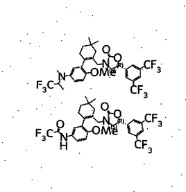 COc1ccc(N(C)C(C)C(F)(F)F)cc1C1=C(CN2C(=O)O[C@H](c3cc(C(F)(F)F)cc(C(F)(F)F)c3)[C@@H]2C)CC(C)(C)CC1.COc1ccc(NC(=O)C(F)(F)F)cc1C1=C(CN2C(=O)O[C@H](c3cc(C(F)(F)F)cc(C(F)(F)F)c3)[C@@H]2C)CC(C)(C)CC1